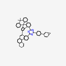 CC1(C)c2ccccc2C2(c3ccc(C4=Cc5ccc6c(c5CC4)C=CCC6)cc3-c3c(-c4nc(-c5ccccc5)nc(-c5ccc(C6=CC7CC7C=C6)cc5)n4)cccc32)c2ccccc21